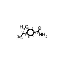 Cc1cc(C(N)=O)ccc1CCF